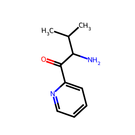 CC(C)C(N)C(=O)c1ccccn1